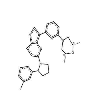 C[C@@H]1CN(c2cccc(-c3cnc4ccc(N5CCCC5c5cccc(F)c5)nn34)n2)C[C@H](C)O1